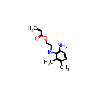 C=CC(=O)OCCNc1c(N)ccc(C)c1C